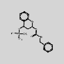 CC(C)(C)[Si](C)(C)OC1CC(OC(=O)NCc2ccccc2)Oc2ccccc21